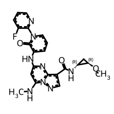 CNc1cc(Nc2cccn(-c3ncccc3F)c2=O)nc2c(C(=O)N[C@@H]3C[C@H]3OC)cnn12